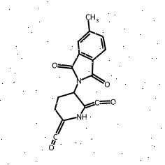 Cc1ccc2c(c1)C(=O)N(C1CCC(=C=O)NC1=C=O)C2=O